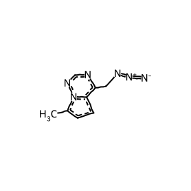 Cc1ccc2c(CN=[N+]=[N-])ncnn12